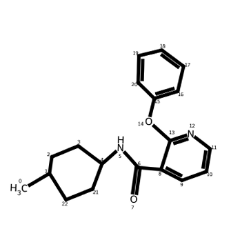 CC1CCC(NC(=O)c2cccnc2Oc2ccccc2)CC1